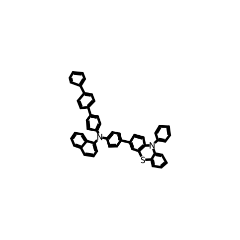 c1ccc(-c2ccc(-c3ccc(N(c4ccc(-c5ccc6c(c5)Sc5ccccc5N6c5ccccc5)cc4)c4cccc5ccccc45)cc3)cc2)cc1